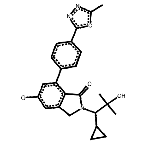 Cc1nnc(-c2ccc(-c3cc(Cl)cc4c3C(=O)N(C(C3CC3)C(C)(C)O)C4)cc2)o1